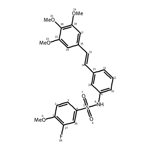 COc1ccc(S(=O)(=O)Nc2cccc(C=Cc3cc(OC)c(OC)c(OC)c3)c2)cc1F